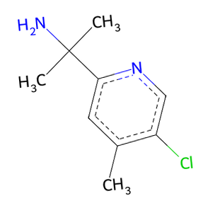 Cc1cc(C(C)(C)N)ncc1Cl